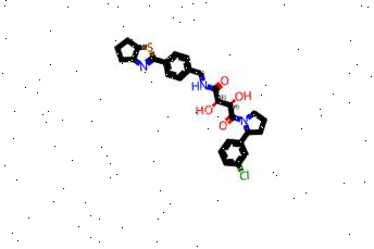 O=C(NCc1ccc(C2=NC3CCCC3S2)cc1)[C@H](O)[C@@H](O)C(=O)N1CCCC1c1cccc(Cl)c1